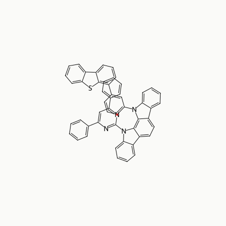 c1ccc(-c2cc(-c3ccccc3)nc(-n3c4ccccc4c4ccc5c6ccccc6n(-c6cccc(-c7cccc8c7sc7ccccc78)c6)c5c43)n2)cc1